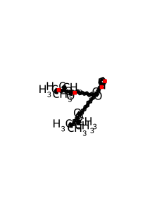 CC(C)CCC(COC(=O)CCCCCCCCCC(CCCCCCCCCC(=O)OCC(CCC(C)C)C(C)C)C(=O)OCCCN1CCCCC1)C(C)C